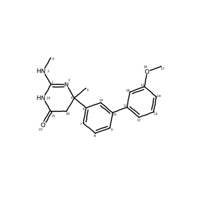 CNC1=NC(C)(c2cccc(-c3cccc(OC)c3)c2)CC(=O)N1